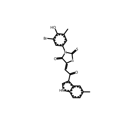 Cc1ccc2[nH]cc(C(=O)/C=C3\SC(=S)N(c4cc(C)c(O)c(Br)c4)C3=O)c2c1